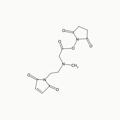 CN(CCN1C(=O)C=CC1=O)CC(=O)ON1C(=O)CCC1=O